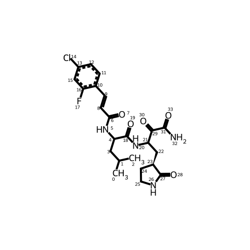 CC(C)CC(NC(=O)/C=C/c1ccc(Cl)cc1F)C(=O)NC(C[C@@H]1CCNC1=O)C(=O)C(N)=O